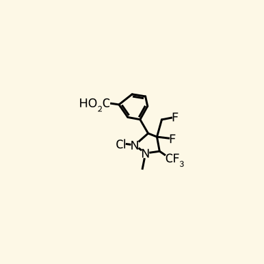 CN1C(C(F)(F)F)C(F)(CF)C(c2cccc(C(=O)O)c2)N1Cl